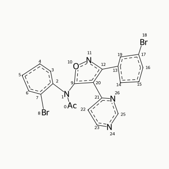 CC(=O)N(c1ccccc1Br)c1onc(-c2cccc(Br)c2)c1-c1ccncn1